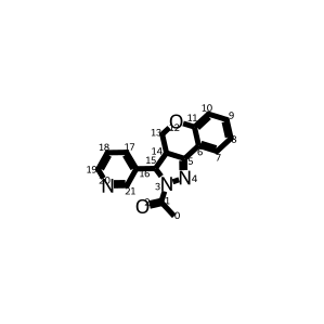 CC(=O)N1N=C2c3ccccc3OCC2C1c1cccnc1